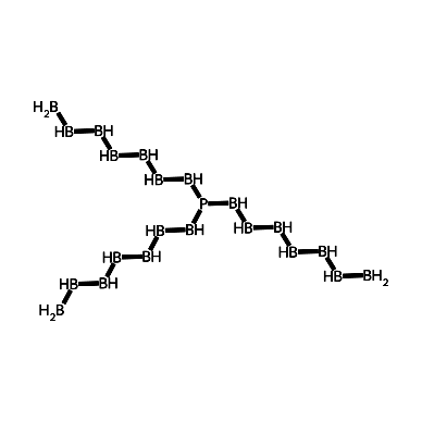 BBBBBBBP(BBBBBBB)BBBBBBB